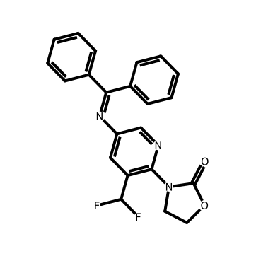 O=C1OCCN1c1ncc(N=C(c2ccccc2)c2ccccc2)cc1C(F)F